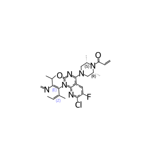 C=CC(=O)N1[C@H](C)CN(c2nc(=O)n(C(/C(C)=C\C)=C(/N=C)C(C)C)c3nc(Cl)c(F)cc23)C[C@@H]1C